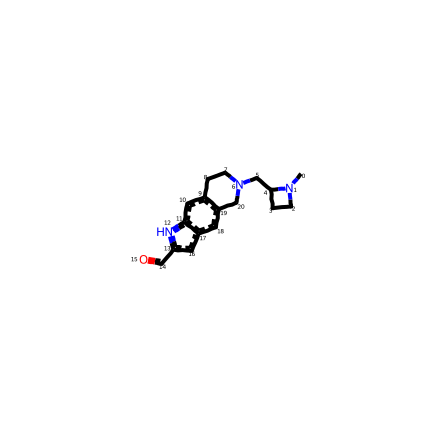 CN1CCC1CN1CCc2cc3[nH]c(C=O)cc3cc2C1